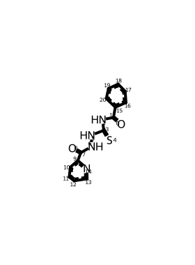 O=C(NC(=S)NNC(=O)c1ccccn1)c1ccccc1